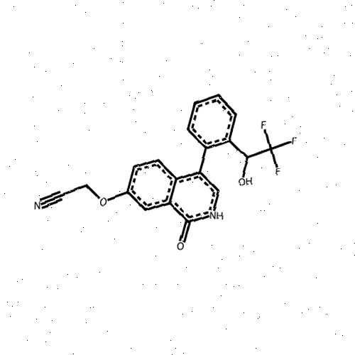 N#CCOc1ccc2c(-c3ccccc3C(O)C(F)(F)F)c[nH]c(=O)c2c1